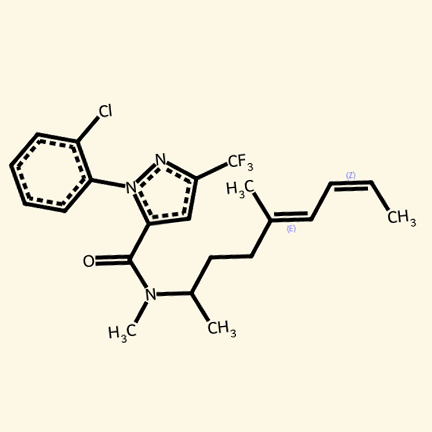 C/C=C\C=C(/C)CCC(C)N(C)C(=O)c1cc(C(F)(F)F)nn1-c1ccccc1Cl